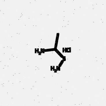 CC(N)SN.Cl